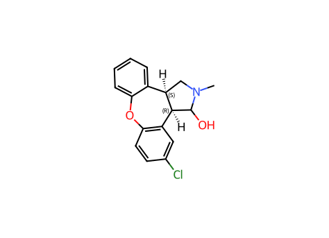 CN1C[C@@H]2c3ccccc3Oc3ccc(Cl)cc3[C@@H]2C1O